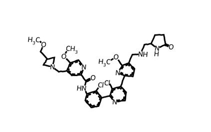 COCC1CN(Cc2cc(C(=O)Nc3cccc(-c4nccc(-c5ccc(CNCC6CCC(=O)N6)c(OC)n5)c4Cl)c3Cl)ncc2OC)C1